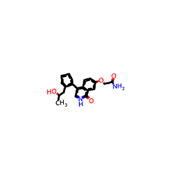 CC(O)Cc1ccccc1-c1c[nH]c(=O)c2cc(OCC(N)=O)ccc12